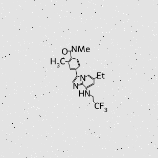 CCc1cc(NCCC(F)(F)F)c2ncc(-c3ccc(C(=O)NC)c(C)c3)n2c1